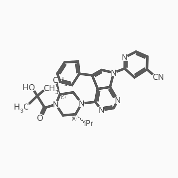 CC(C)[C@@H]1CN(C(=O)C(C)(C)O)[C@@H](C)CN1c1ncnc2c1c(-c1ccccc1)cn2-c1cc(C#N)ccn1